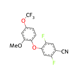 COc1cc(OC(F)(F)F)ccc1Oc1cc(F)c(C#N)cc1F